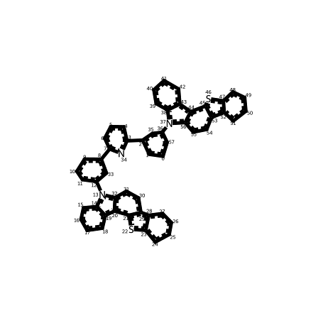 c1cc(-c2cccc(-c3cccc(-n4c5ccccc5c5c6sc7ccccc7c6ccc54)c3)n2)cc(-n2c3ccccc3c3c4sc5ccccc5c4ccc32)c1